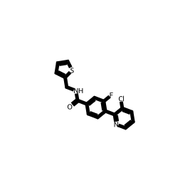 O=C(NCc1cccs1)c1ccc(-c2ncccc2Cl)c(F)c1